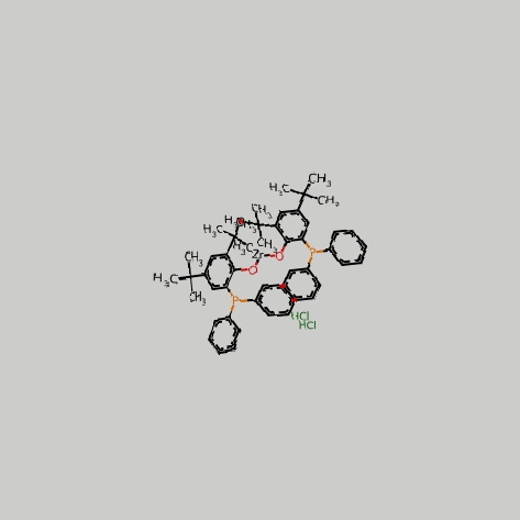 CC(C)(C)c1cc(P(c2ccccc2)c2ccccc2)c([O][Zr][O]c2c(P(c3ccccc3)c3ccccc3)cc(C(C)(C)C)cc2C(C)(C)C)c(C(C)(C)C)c1.Cl.Cl